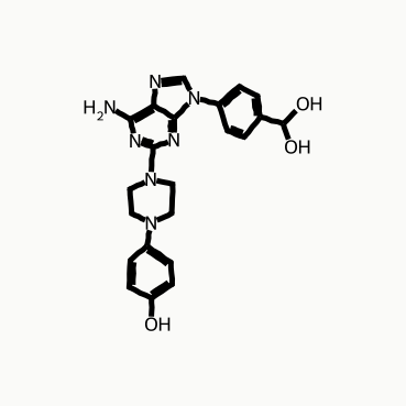 Nc1nc(N2CCN(c3ccc(O)cc3)CC2)nc2c1ncn2-c1ccc(C(O)O)cc1